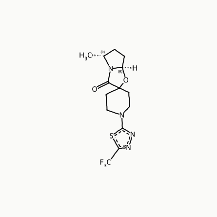 C[C@@H]1CC[C@H]2OC3(CCN(c4nnc(C(F)(F)F)s4)CC3)C(=O)N12